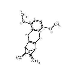 C=C1C(=C)C2OC1C1=C2Cc2c(OC)ccc(OC)c2C1